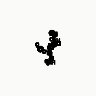 CC(=O)N[C@H]1CCN([C@H]2C[C@@H](CO[C@H]3CC[C@H](C=O)CC3)N(C(=O)Cc3cc(Cl)c(NC(=O)c4csc5ccccc45)cc3F)C2)C1